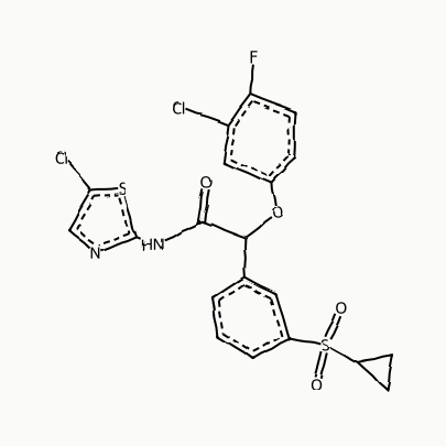 O=C(Nc1ncc(Cl)s1)C(Oc1ccc(F)c(Cl)c1)c1cccc(S(=O)(=O)C2CC2)c1